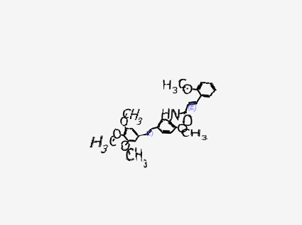 COc1ccccc1/C=C/C(=O)Nc1cc(/C=C/c2cc(OC)c(OC)c(OC)c2)ccc1OC